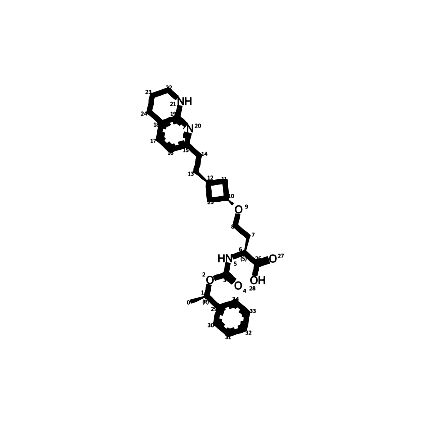 C[C@@H](OC(=O)N[C@@H](CCO[C@H]1C[C@H](CCc2ccc3c(n2)NCCC3)C1)C(=O)O)c1ccccc1